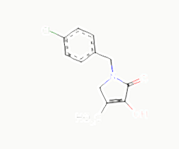 O=C(O)C1=C(O)C(=O)N(Cc2ccc(Cl)cc2)C1